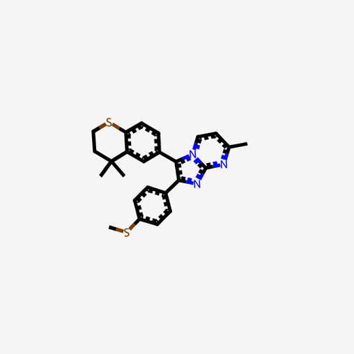 CSc1ccc(-c2nc3nc(C)ccn3c2-c2ccc3c(c2)C(C)(C)CCS3)cc1